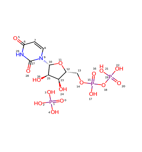 O=P(O)(O)O.O=c1ccn([C@@H]2O[C@H](COP(=O)(O)OP(=O)(O)O)[C@@H](O)[C@H]2O)c(=O)[nH]1